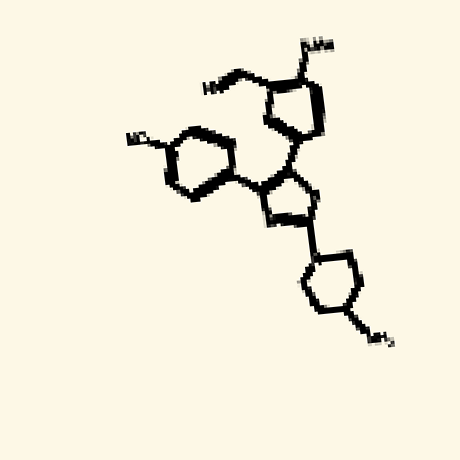 CNc1ccc(-c2sc(N3CCC(N)CC3)nc2-c2ccc(C#N)cc2)cc1C=N